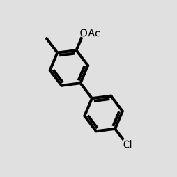 CC(=O)Oc1cc(-c2ccc(Cl)cc2)ccc1C